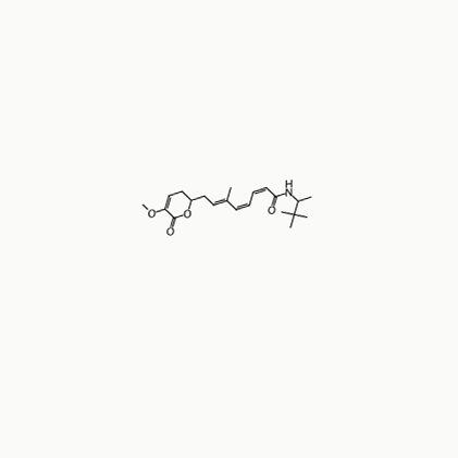 COC1=CCC(C/C=C(C)/C=C\C=C/C(=O)NC(C)C(C)(C)C)OC1=O